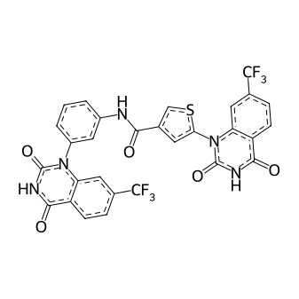 O=C(Nc1cccc(-n2c(=O)[nH]c(=O)c3ccc(C(F)(F)F)cc32)c1)c1csc(-n2c(=O)[nH]c(=O)c3ccc(C(F)(F)F)cc32)c1